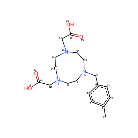 Cc1ccc(CN2CCN(CC(=O)O)CCN(CC(=O)O)CC2)cc1